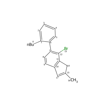 CCCCc1ccccc1-c1ccc2c(c1Br)CC(C)=C2